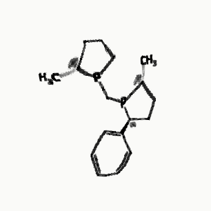 C[C@@H]1CCCP1CP1[C@H](C)CC[C@H]1c1ccccc1